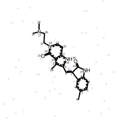 Cc1ccc2c(c1)/C(=C/c1[nH]c3ccn(CCN(C)C)c(=O)c3c1C)C(=O)N2